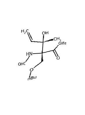 C=C[C@](C)(O)[C@@](COCCCC)(NC=O)C(=O)OC